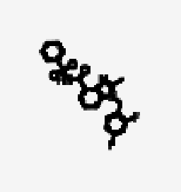 Cc1nc2c(C(=O)NS(=O)(=O)c3ccccc3)cccc2n1Cc1ccc(F)cc1F